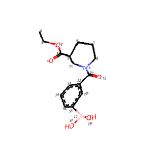 CCOC(=O)C1CCCN(C(=O)c2cccc(B(O)O)c2)C1